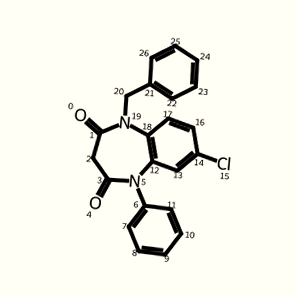 O=C1CC(=O)N(c2ccccc2)c2cc(Cl)ccc2N1Cc1ccccc1